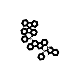 Fc1c(N(c2ccccc2)c2cc3c4ccccc4c(N(c4ccccc4)c4cccc5c4-c4ccccc4C54c5ccccc5-c5ccccc54)cc3c3ccccc23)ncc2ccccc12